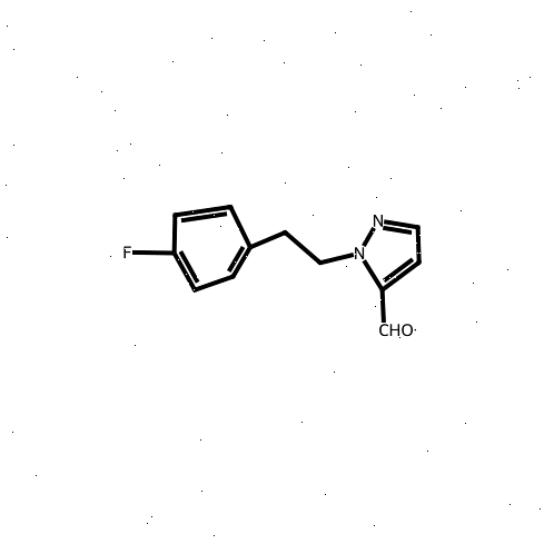 O=[C]c1ccnn1CCc1ccc(F)cc1